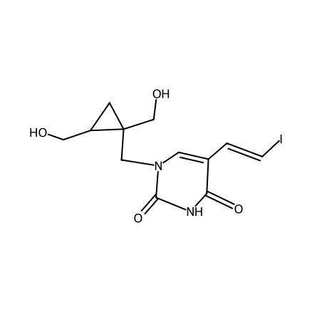 O=c1[nH]c(=O)n(CC2(CO)CC2CO)cc1C=CI